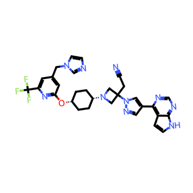 N#CCC1(n2cc(-c3ncnc4[nH]ccc34)cn2)CN([C@H]2CC[C@@H](Oc3cc(Cn4ccnc4)cc(C(F)(F)F)n3)CC2)C1